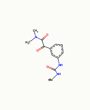 CN(C)C(=O)C(=O)c1cccc(NC(=O)NC(C)(C)C)c1